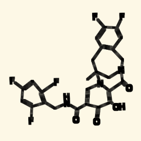 CC12Cc3cc(F)c(F)cc3CN(C1)C(=O)c1c(O)c(=O)c(C(=O)NCc3c(F)cc(F)cc3F)cn12